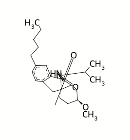 CCCCCc1ccc2c(c1)C1(NC(=O)N(C(C)C)C1=O)[C@]1(CC[C@H](OC)CC1)C2